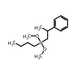 CCCC[Si](CC(C)c1ccccc1)(OC)OC